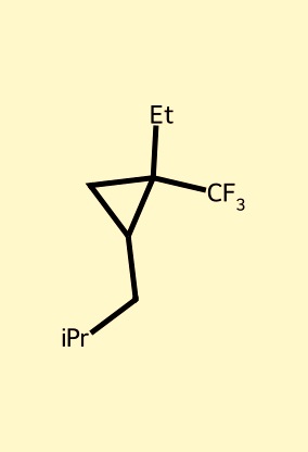 CCC1(C(F)(F)F)CC1CC(C)C